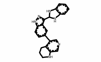 c1ccc2c(c1)NC(c1n[nH]c3ccc(-c4cncc5c4CCCN5)cc13)N2